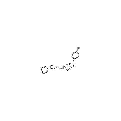 Fc1ccc(C2CC3CN(CCCOc4ccccc4)CC32)cc1